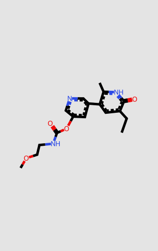 CCc1cc(-c2cncc(OC(=O)NCCOC)c2)c(C)[nH]c1=O